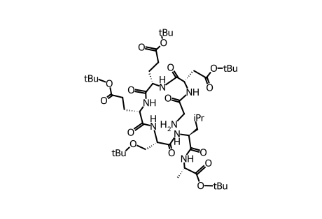 CC(C)C[C@H](NC(=O)[C@H](COC(C)(C)C)NC(=O)[C@H](CCC(=O)OC(C)(C)C)NC(=O)[C@H](CCC(=O)OC(C)(C)C)NC(=O)[C@H](CC(=O)OC(C)(C)C)NC(=O)CN)C(=O)N[C@@H](C)C(=O)OC(C)(C)C